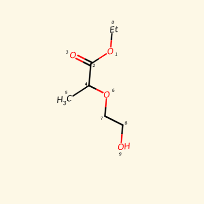 CCOC(=O)C(C)OCCO